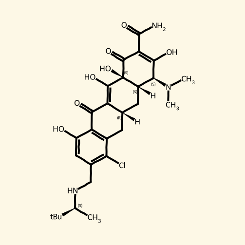 C[C@H](NCc1cc(O)c2c(c1Cl)C[C@H]1C[C@H]3[C@H](N(C)C)C(O)=C(C(N)=O)C(=O)[C@@]3(O)C(O)=C1C2=O)C(C)(C)C